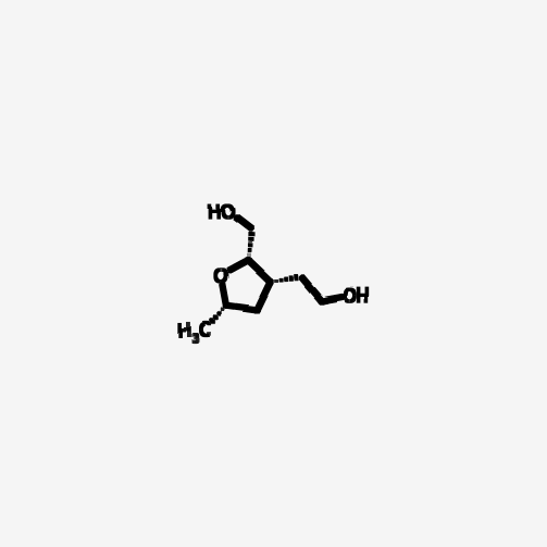 C[C@H]1C[C@@H](CCO)[C@@H](CO)O1